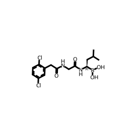 CC(C)C[C@H](NC(=O)CNC(=O)Cc1cc(Cl)ccc1Cl)B(O)O